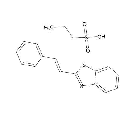 C(=Cc1nc2ccccc2s1)c1ccccc1.CCCS(=O)(=O)O